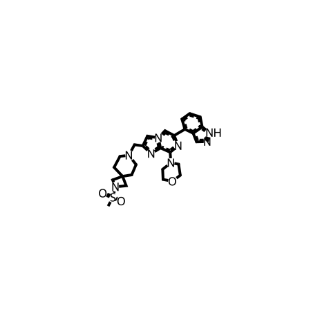 CS(=O)(=O)N1CC2(CCN(Cc3cn4cc(-c5cccc6[nH]ncc56)nc(N5CCOCC5)c4n3)CC2)C1